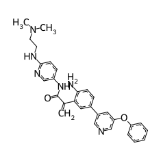 C=C(C(=O)Nc1ccc(NCCN(C)C)nc1)c1cc(-c2cncc(Oc3ccccc3)c2)ccc1N